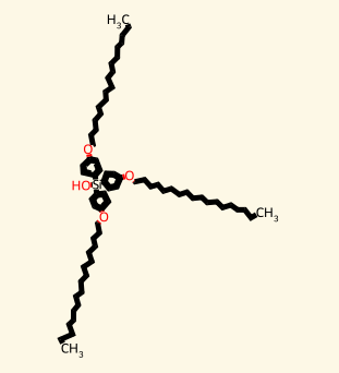 CCCCCCCCCCCCCCCCCCOc1ccc([Si](O)(c2ccc(OCCCCCCCCCCCCCCCCCC)cc2)c2ccc(OCCCCCCCCCCCCCCCCCC)cc2)cc1